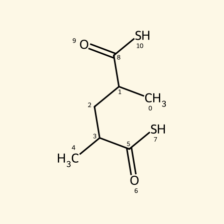 CC(CC(C)C(=O)S)C(=O)S